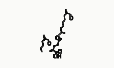 C=C(C=O)CCCC.C=C(C=O)CCCCCC(C)C.C=C(CCC1CO1)C(=O)O